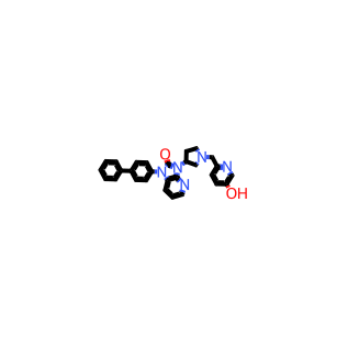 O=c1n(-c2ccc(-c3ccccc3)cc2)c2cccnc2n1C1CCN(Cc2ccc(O)cn2)C1